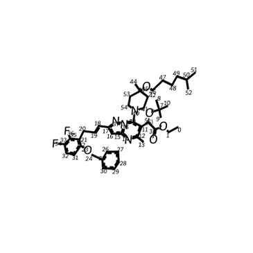 CCOC(=O)[C@@H](OC(C)(C)C)c1c(C)nc2cc(C=CCc3c(OCc4ccccc4)ccc(F)c3F)nn2c1N1CCC(C)(OCCCCC(C)C)CC1